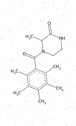 Cc1c(C)c(C)c(C(=O)N2CCNC(=O)C2C)c(C)c1C